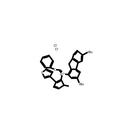 CC1C=CC(c2ccsc2)=[C]1[Zr+2](=[CH]Cc1ccccc1)[c]1cc(C(C)(C)C)cc2c1Cc1ccc(C(C)(C)C)cc1-2.[Cl-].[Cl-]